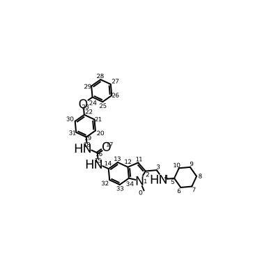 Cn1c(CNC2CCCCC2)cc2cc(NC(=O)Nc3ccc(Oc4ccccc4)cc3)ccc21